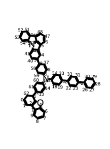 C1=Cc2c(oc3ccccc23)C(c2ccc(N(c3ccc(-c4ccc(-c5ccccc5)cc4)cc3)c3ccc(-c4ccc5c(c4)c4cccc6c7ccccc7n5c64)cc3)cc2)C1